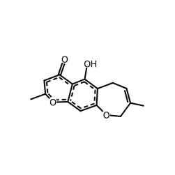 CC1=CCc2c(cc3oc(C)cc(=O)c3c2O)OC1